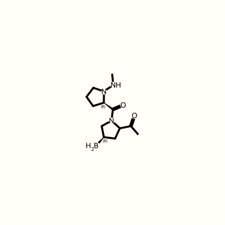 B[C@@H]1CC(C(C)=O)N(C(=O)[C@H]2CCCN2NC)C1